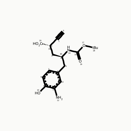 C#C[C@H](C[C@H](Cc1ccc(O)c(N)c1)NC(=O)OC(C)(C)C)C(=O)O